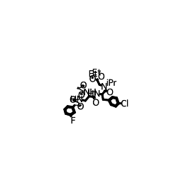 CCOC(CN(C(=O)C(Cc1ccc(Cl)cc1)NC(=O)C(CNS(=O)(=O)c1cccc(F)c1)NS(C)(=O)=O)C(C)C)OCC